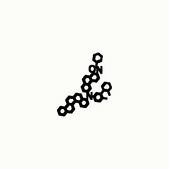 CC1=C(c2cc(N(c3ccc4ccc5c(ccc6nc(C7=CCCC=C7)oc65)c4c3)c3cccc4c3ccc3ccc5c6ccccc6ccc5c34)ccc2C)C=CCC1